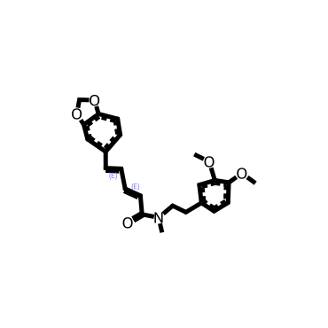 COc1ccc(CCN(C)C(=O)/C=C/C=C/c2ccc3c(c2)OCO3)cc1OC